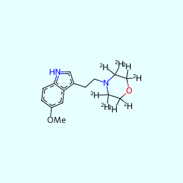 [2H]C1([2H])OC([2H])([2H])C([2H])([2H])N(CCc2c[nH]c3ccc(OC)cc23)C1([2H])[2H]